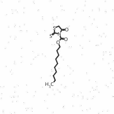 CCCCCCCCCCOC(=O)N1C(=O)CSC1=S